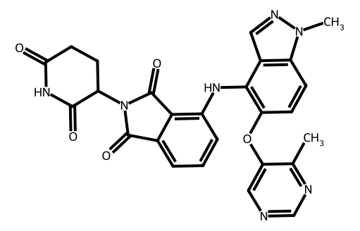 Cc1ncncc1Oc1ccc2c(cnn2C)c1Nc1cccc2c1C(=O)N(C1CCC(=O)NC1=O)C2=O